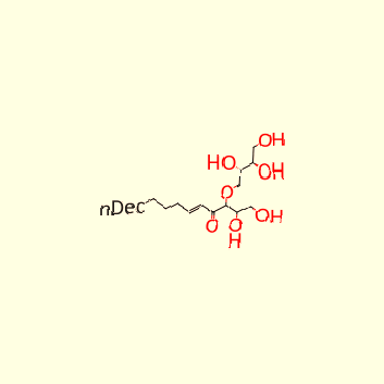 CCCCCCCCCCCCCC=CC(=O)C(OC[C@H](O)[C@H](O)CO)C(O)CO